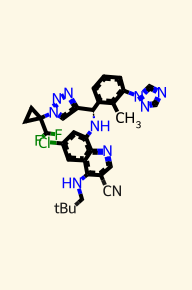 Cc1c([C@H](Nc2cc(Cl)cc3c(NCC(C)(C)C)c(C#N)cnc23)c2cn(C3(C(F)F)CC3)nn2)cccc1-n1cncn1